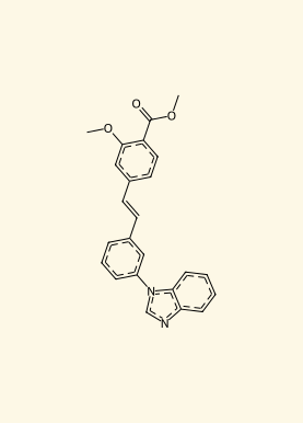 COC(=O)c1ccc(/C=C/c2cccc(-n3cnc4ccccc43)c2)cc1OC